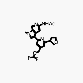 CC(=O)Nc1cc2c(-c3cc(COC(F)F)cc(C4CCOC4)n3)cn(C)c2cn1